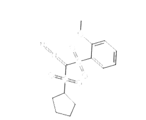 COc1ccccc1S(=O)(=O)C(=[N+]=[N-])S(=O)(=O)C1CCCC1